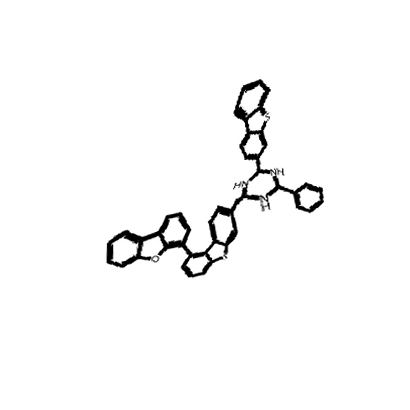 c1ccc(C2NC(c3ccc4c(c3)sc3ccccc34)NC(c3ccc4c(c3)sc3cccc(-c5cccc6c5oc5ccccc56)c34)N2)cc1